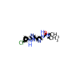 CCN(CC)C(=O)CNc1cncc(-c2cncc(Nc3cccc(Cl)c3)n2)c1